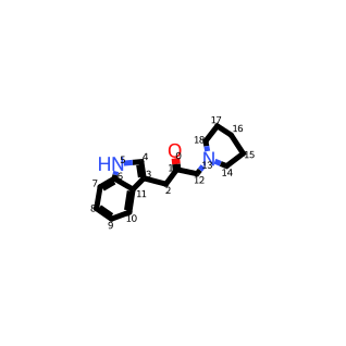 O=C(Cc1c[nH]c2ccccc12)CN1CCCCC1